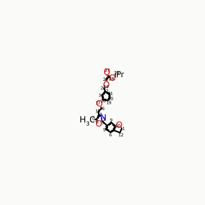 Cc1oc(-c2ccc3c(c2)OCC3)nc1CCOc1cccc(COCC(=O)OC(C)C)c1